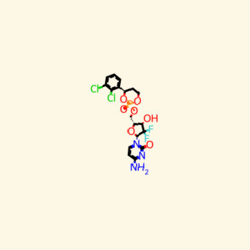 Nc1ccn([C@@H]2O[C@H](CO[P@]3(=O)OCC[C@H](c4cccc(Cl)c4Cl)O3)[C@@H](O)C2(F)F)c(=O)n1